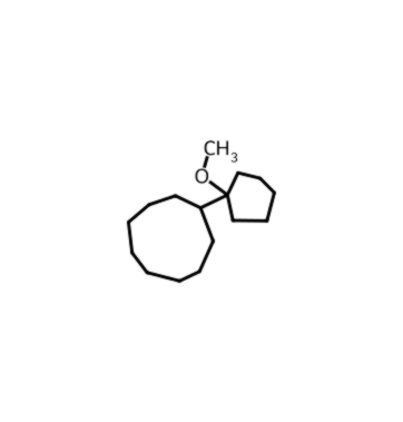 COC1(C2CCCCCCCC2)CCCCC1